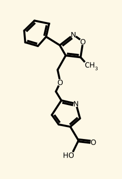 Cc1onc(-c2ccccc2)c1COCc1ccc(C(=O)O)cn1